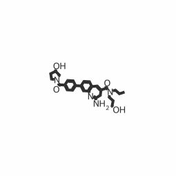 CCCN(CCCO)C(=O)C1=Cc2ccc(-c3ccc(C(=O)N4CCC(O)C4)cc3)cc2N=C(N)C1